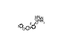 N=C(N)NC(=O)OCc1cccc(N2CCC(Oc3cccnc3)CC2)c1F